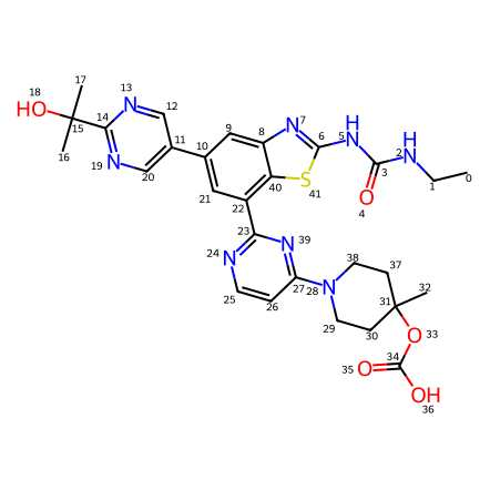 CCNC(=O)Nc1nc2cc(-c3cnc(C(C)(C)O)nc3)cc(-c3nccc(N4CCC(C)(OC(=O)O)CC4)n3)c2s1